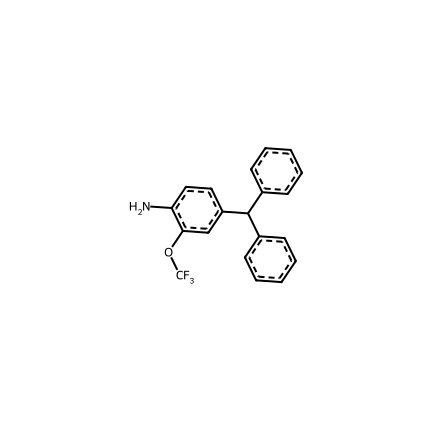 Nc1ccc(C(c2ccccc2)c2ccccc2)cc1OC(F)(F)F